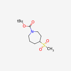 CC(C)(C)OC(=O)N1CCCC(S(C)(=O)=O)CC1